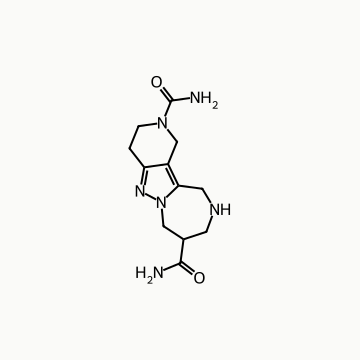 NC(=O)C1CNCc2c3c(nn2C1)CCN(C(N)=O)C3